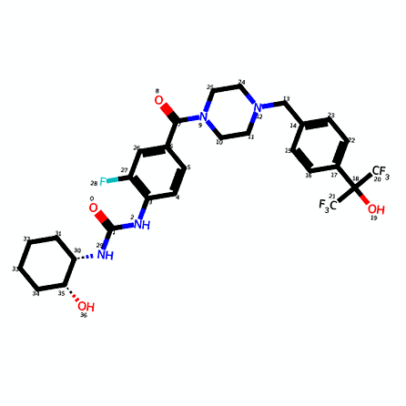 O=C(Nc1ccc(C(=O)N2CCN(Cc3ccc(C(O)(C(F)(F)F)C(F)(F)F)cc3)CC2)cc1F)N[C@H]1CCCC[C@H]1O